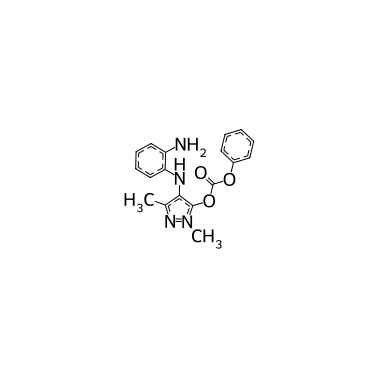 Cc1nn(C)c(OC(=O)Oc2ccccc2)c1Nc1ccccc1N